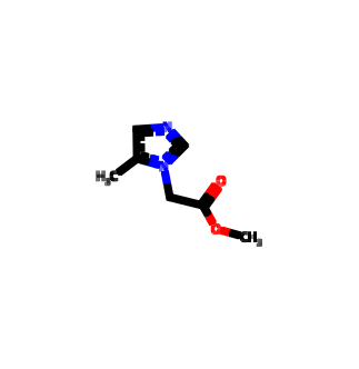 COC(=O)Cn1cncc1C